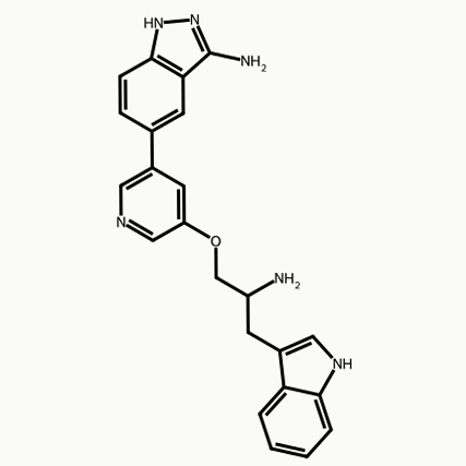 Nc1n[nH]c2ccc(-c3cncc(OCC(N)Cc4c[nH]c5ccccc45)c3)cc12